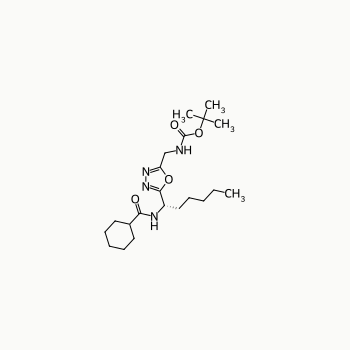 CCCCC[C@H](NC(=O)C1CCCCC1)c1nnc(CNC(=O)OC(C)(C)C)o1